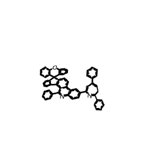 C1=C(c2ccccc2)C=C(c2ccc3nc(-c4ccccc4)c4c5c(ccc4c3c2)C2(c3ccccc3Oc3ccccc32)c2ccccc2-5)N=C(c2ccccc2)C1